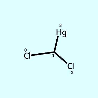 Cl[CH](Cl)[Hg]